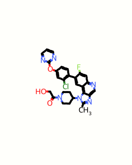 Cc1nc2cnc3cc(F)c(-c4ccc(Oc5ncccn5)cc4Cl)cc3c2n1C1CCN(C(=O)CO)CC1